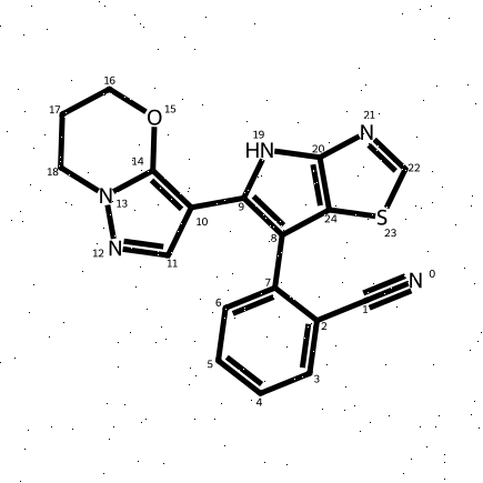 N#Cc1ccccc1-c1c(-c2cnn3c2OCCC3)[nH]c2ncsc12